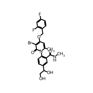 CNC(=O)c1cc(C(O)CO)ccc1-n1c(C)cc(OCc2ccc(F)cc2F)c(Br)c1=O